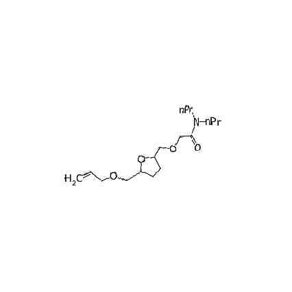 C=CCOCC1CCC(COCC(=O)N(CCC)CCC)O1